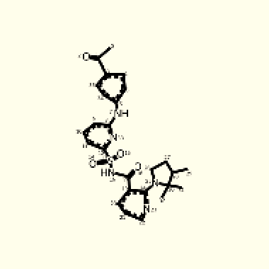 CC(=O)c1ccc(Nc2cccc(S(=O)(=O)NC(=O)c3cccnc3N3CCC(C)C3(C)C)n2)cc1